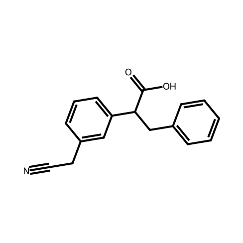 N#CCc1cccc(C(Cc2ccccc2)C(=O)O)c1